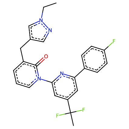 CCn1cc(Cc2cccn(-c3cc(C(C)(F)F)cc(-c4ccc(F)cc4)n3)c2=O)cn1